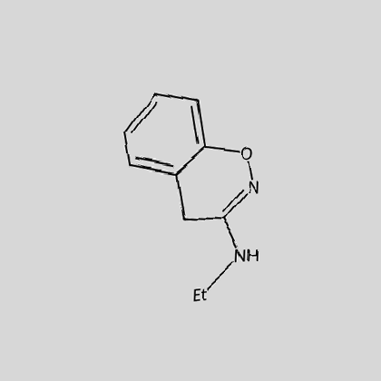 CCNC1=NOc2ccccc2C1